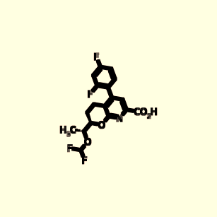 C[C@@H](OC(F)F)[C@H]1CCc2c(-c3ccc(F)cc3F)cc(C(=O)O)nc2O1